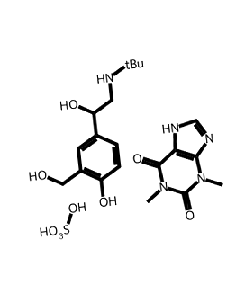 CC(C)(C)NCC(O)c1ccc(O)c(CO)c1.Cn1c(=O)c2[nH]cnc2n(C)c1=O.O=S(=O)(O)O